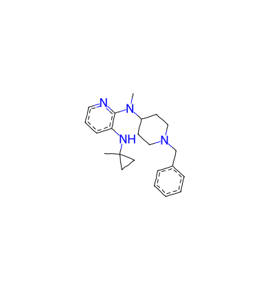 CN(c1ncccc1NC1(C)CC1)C1CCN(Cc2ccccc2)CC1